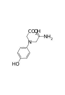 NC(=O)CN(CC(=O)O)c1ccc(O)cc1